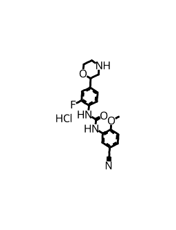 COc1ccc(C#N)cc1NC(=O)Nc1ccc(C2CNCCO2)cc1F.Cl